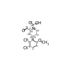 COc1ccc(Cl)c(Cl)c1[C@@H]1CCN(C(=O)O)[C@H](C=O)C1